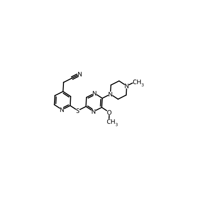 COc1nc(Sc2cc(CC#N)ccn2)cnc1N1CCN(C)CC1